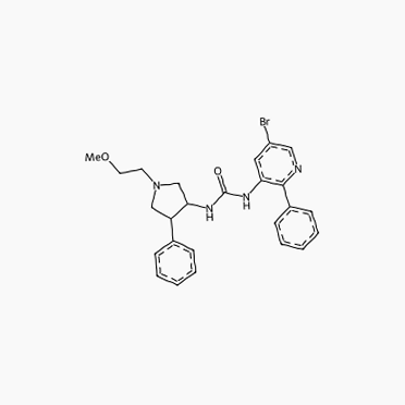 COCCN1CC(NC(=O)Nc2cc(Br)cnc2-c2ccccc2)C(c2ccccc2)C1